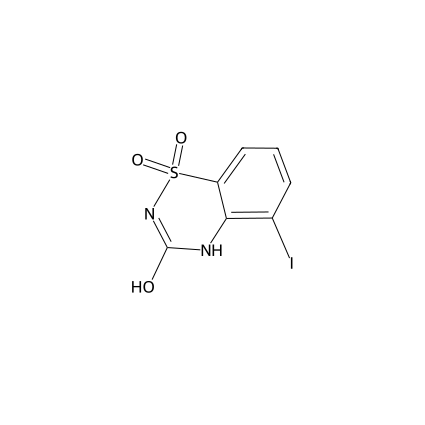 O=S1(=O)N=C(O)Nc2c(I)cccc21